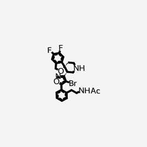 CC(=O)NCCc1ccccc1-c1onc([C@H]2CNCC[C@@]23OCc2cc(F)c(F)cc23)c1Br